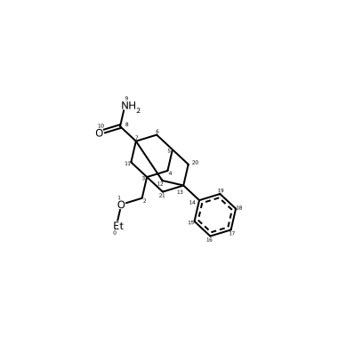 CCOCC12CC3CC(C(N)=O)(C1)CC(c1ccccc1)(C3)C2